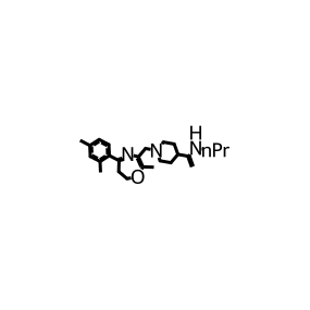 C=C(NCCC)C1CCN(CC2=C(C)OCCC(c3ccc(C)cc3C)=N2)CC1